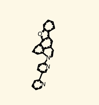 C1=CN(c2ccc(-c3ccccn3)cn2)c2cccc3c2c1cc1c2ccccc2oc31